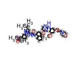 COc1cc(Nc2nccc(Oc3ccc(NC(=O)Nc4cc(C(C)C)nn4-c4cccc(CP(C)(C)=O)c4)c4ccccc34)n2)cc(OCCN2CCOCC2)c1